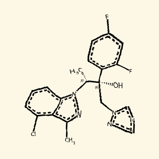 Cc1nn([C@H](C)[C@](O)(Cn2cncn2)c2ccc(F)cc2F)c2cccc(Cl)c12